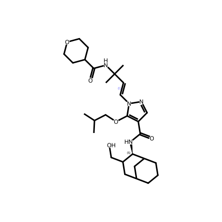 CC(C)COc1c(C(=O)N[C@@H]2C(CO)CC3CCCC2C3)cnn1/C=C/C(C)(C)NC(=O)C1CCOCC1